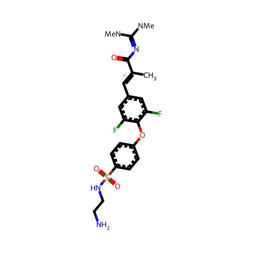 CNC(=NC(=O)/C(C)=C/c1cc(F)c(Oc2ccc(S(=O)(=O)NCCN)cc2)c(F)c1)NC